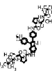 CC[C@@H](NC(=O)OC(C)(C)C)C(=O)C1CCCN1C(=O)Nc1ccc2[nH]c(-c3ccc(NC(=O)[C@@H]4CCCN4C(=O)[C@@H](C)NC(=O)OC(C)(C)C)cc3)c(-c3ccc(OC)cc3)c2c1